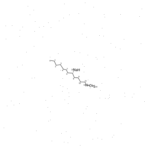 CCCCCCCCCCCCN=C=S.[NaH]